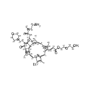 CCC1=C(C)c2cc3[nH]c(cc4nc(c5c6[nH]c(cc1n2)c(C)c6C(=O)N(CCN1CCOCC1)C5=O)[C@@H](CCC(=O)N(C)CCN)[C@@H]4C)c(C)c3/C=C/C(=O)OCCOCCO